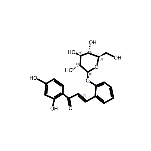 O=C(/C=C/c1ccccc1O[C@@H]1O[C@H](CO)[C@@H](O)[C@H](O)[C@H]1O)c1ccc(O)cc1O